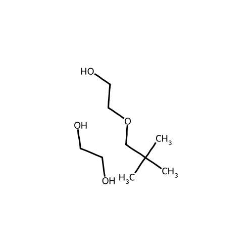 CC(C)(C)COCCO.OCCO